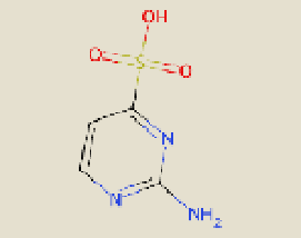 Nc1nccc(S(=O)(=O)O)n1